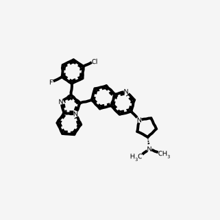 CN(C)[C@H]1CCN(c2cnc3ccc(-c4c(-c5cc(Cl)ccc5F)nc5ccccn45)cc3c2)C1